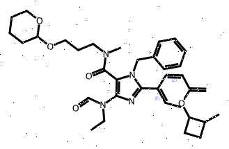 C=C(/C=C\C(=C/C)c1nc(N(C=O)CC)c(C(=O)N(C)CCCOC2CCCCO2)n1Cc1ccccc1)OC1CCC1C